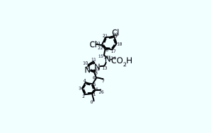 Cc1cccc(C(C)c2nccn2CN(Cc2ccc(Cl)cc2Cl)C(=O)O)c1C